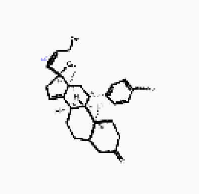 CC(=O)c1ccc([C@H]2C[C@@]3(C)C(=CC[C@]3(O)/C=C\CO)[C@@H]3CCC4CC(=O)CC[C@@H]4[C@@H]23)cc1